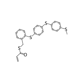 C=CC(=O)SCc1ccccc1Sc1ccc(Sc2ccc(SC)cc2)cc1